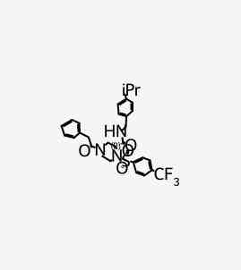 CC(C)c1ccc(CNC(=O)[C@H]2CN(C(=O)Cc3ccccc3)CCN2S(=O)(=O)c2ccc(C(F)(F)F)cc2)cc1